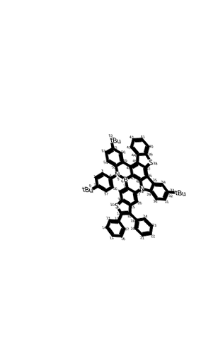 CC(C)(C)c1ccc(N2B3c4cc5sc(-c6ccccc6)c(-c6ccccc6)c5cc4-n4c5ccc(C(C)(C)C)cc5c5c6sc7ccccc7c6c(c3c54)-c3cc(C(C)(C)C)ccc32)cc1